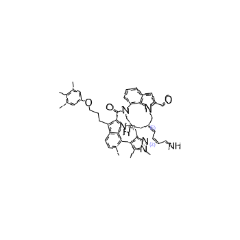 Cc1cc(OCCCc2c3n(c4c(-c5c(C)nn(C)c5C)c(C)ccc24)[C@@H]2C/C(=C\C=C/C=N)Cn4c(C=O)cc5cccc(c54)N(C2)C3=O)cc(C)c1C